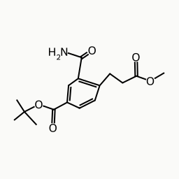 COC(=O)CCc1ccc(C(=O)OC(C)(C)C)cc1C(N)=O